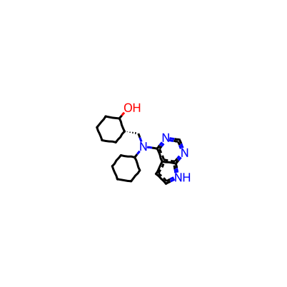 OC1CCCC[C@H]1CN(c1ncnc2[nH]ccc12)C1CCCCC1